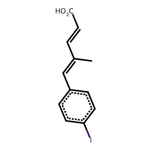 CC(/C=C/C(=O)O)=C\c1ccc(I)cc1